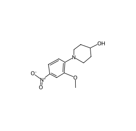 COc1cc([N+](=O)[O-])ccc1N1CCC(O)CC1